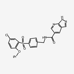 CC(C)Oc1ccc(Cl)cc1S(=O)(=O)c1ccc(CNC(=O)c2cnc3[nH]ncc3c2)cc1